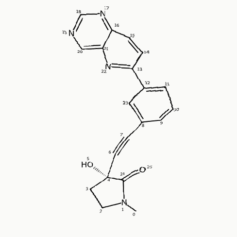 CN1CC[C@@](O)(C#Cc2cccc(-c3ccc4ncncc4n3)c2)C1=O